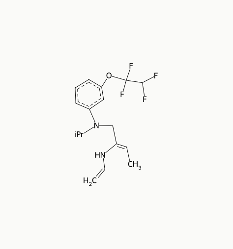 C=CN/C(=C\C)CN(c1cccc(OC(F)(F)C(F)F)c1)C(C)C